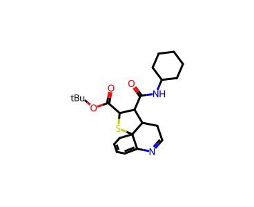 CC(C)(C)OC(=O)C1SC23CC=CC=C2N=CCC3C1C(=O)NC1CCCCC1